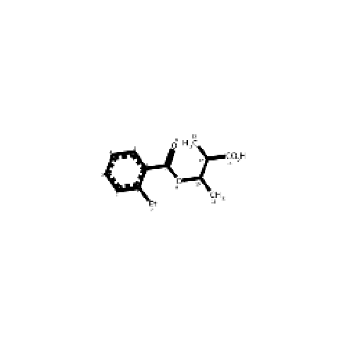 CCc1ccccc1C(=O)OC(C)C(C)C(=O)O